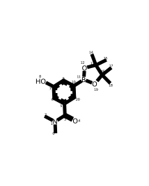 CN(C)C(=O)c1cc(O)cc(B2OC(C)(C)C(C)(C)O2)c1